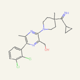 Cc1nc(N2CCC(C)(C(=N)C3CC3)CC2)c(CO)nc1-c1cccc(Cl)c1Cl